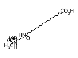 C[C@H](NC(O)CCCNC(=O)CCCCCCCCCCCCCCCCCCC(=O)O)C(=O)S